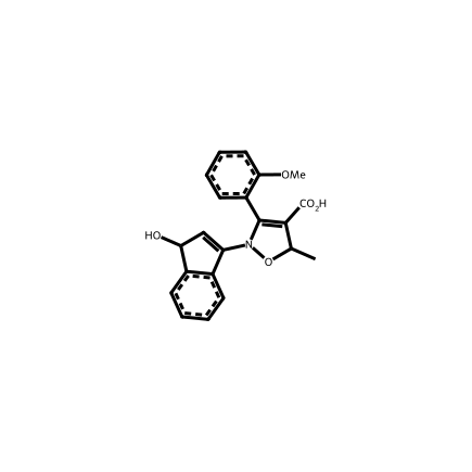 COc1ccccc1C1=C(C(=O)O)C(C)ON1C1=CC(O)c2ccccc21